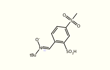 CC(C)(C)/[N+]([O-])=C/c1ccc(S(C)(=O)=O)cc1S(=O)(=O)O